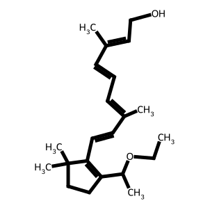 CCOC(C)C1=C(C=CC(C)=CC=CC(C)=CCO)C(C)(C)CC1